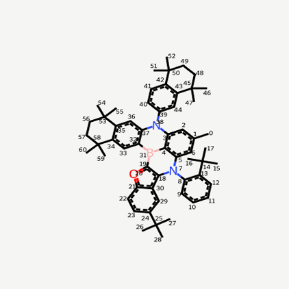 Cc1cc2c3c(c1)N(c1ccccc1C(C)(C)C)c1c(oc4ccc(C(C)(C)C)cc14)B3c1cc3c(cc1N2c1ccc2c(c1)C(C)(C)CCC2(C)C)C(C)(C)CCC3(C)C